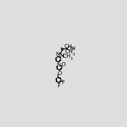 Cn1c(C2CC2C(C)(C)O)nc2ccc(-n3ccc(OCc4ccc(F)c(F)c4)cc3=O)cc21